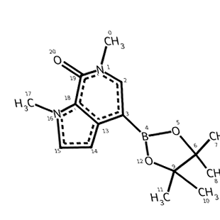 Cn1cc(B2OC(C)(C)C(C)(C)O2)c2ccn(C)c2c1=O